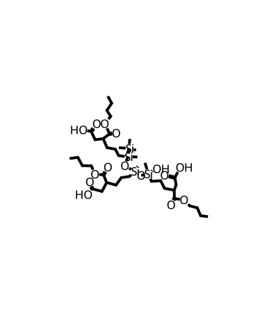 CCCCOC(=O)C(CCC[Si](C)(O)O[Si](C)(CCCC(CC(=O)O)C(=O)OCCCC)O[Si](C)(CCCC(CC(=O)O)C(=O)OCCCC)[Si](C)(C)C)CC(=O)O